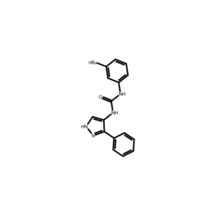 CCCCc1cccc(NC(=O)Nc2c[nH]nc2-c2ccccc2)c1